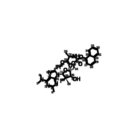 Cc1nc(N(C)C)c2ncn([C@@H]3O[C@H](CO[P@](=O)(N[C@H](C)C(=O)OC(C)C)Oc4cccc5ccccc45)[C@@H](O)[C@@]3(C)F)c2n1